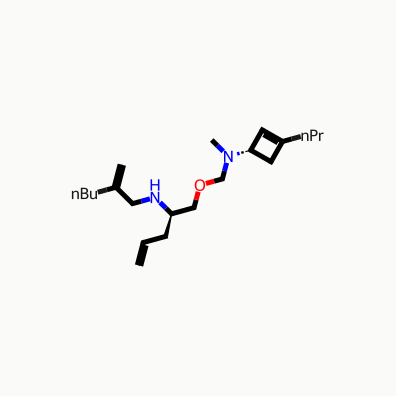 C=CC[C@H](COCN(C)[C@@H]1C=C(CCC)C1)NCC(=C)CCCC